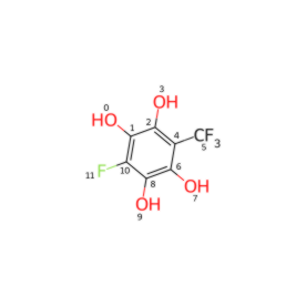 Oc1c(O)c(C(F)(F)F)c(O)c(O)c1F